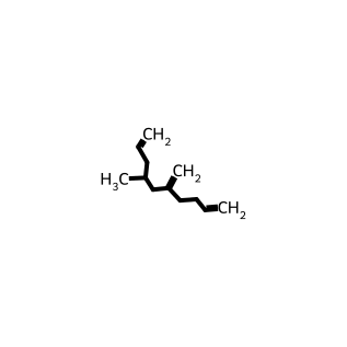 C=CCCC(=C)CC(C)CC=C